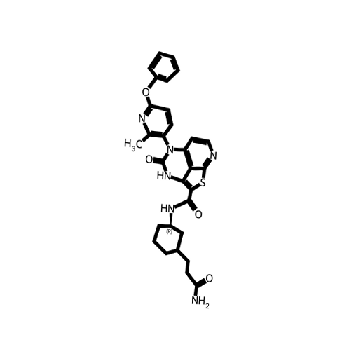 Cc1nc(Oc2ccccc2)ccc1N1C(=O)Nc2c(C(=O)N[C@@H]3CCCC(CCC(N)=O)C3)sc3nccc1c23